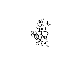 CC(=O)O.CC(C)C(C)(C)c1ccccc1C1CCCCC1CNC(=O)[C@@H](N)CO